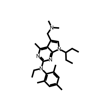 CCC(CC)n1cc(CN(C)C)c2c(C)nc(N(CC)c3c(C)cc(C)cc3C)nc21